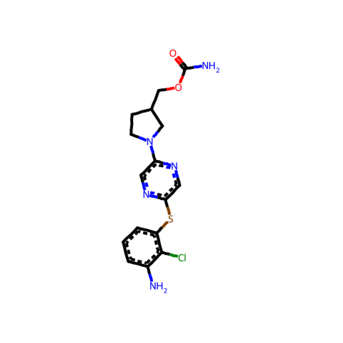 NC(=O)OCC1CCN(c2cnc(Sc3cccc(N)c3Cl)cn2)C1